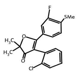 CSc1ccc(C2=C(c3ccccc3Cl)C(=O)C(C)(C)O2)cc1F